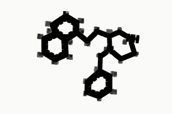 c1ccc(CN2CCNCC2CCc2cccc3ccccc23)cc1